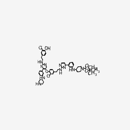 CC(C)(C)OC(=O)N1CCC(Nc2cccc(-c3ccnc(NCCc4ccc(Oc5cnc(NCCc6ccc(O)c(Cl)c6)nc5-c5cccc(NC6CCNCC6)c5)c(Cl)c4)n3)c2)CC1